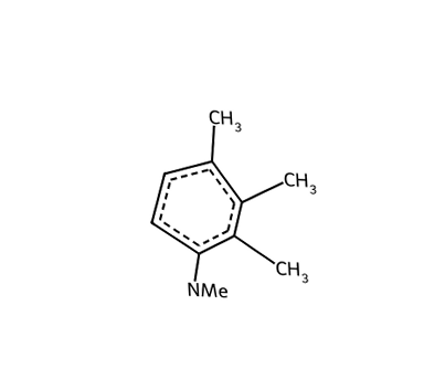 CNc1ccc(C)c(C)c1C